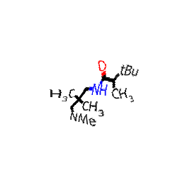 CNCC(C)(C)CNC(=O)C(C)C(C)(C)C